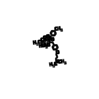 Cc1ccc(S(=O)(=O)N(C(=O)[C@H]2NCCC2(C)C)[C@@H](Cc2ccc(OCCCN(C)C)cc2)C(=O)O)cc1